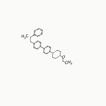 CCOC1CCC(c2ccc(-c3ccc(C[C@H](C)c4ccccc4)cc3)cc2)CC1